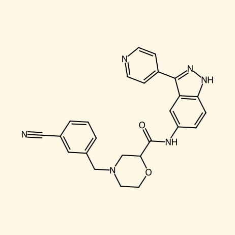 N#Cc1cccc(CN2CCOC(C(=O)Nc3ccc4[nH]nc(-c5ccncc5)c4c3)C2)c1